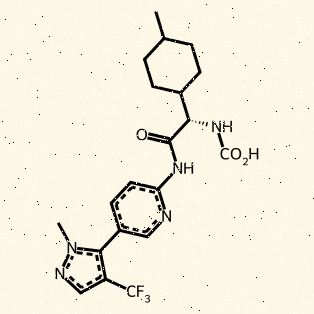 CC1CCC([C@H](NC(=O)O)C(=O)Nc2ccc(-c3c(C(F)(F)F)cnn3C)cn2)CC1